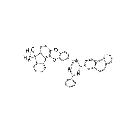 CC1(C)c2ccccc2-c2c1ccc1c2Oc2cc(-c3nc(-c4ccccc4)nc(-c4ccc5c(ccc6ccccc65)c4)n3)ccc2O1